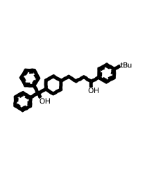 CC(C)(C)c1ccc(C(O)CCCC2CCC(C(O)(c3ccccc3)c3ccccc3)CC2)cc1